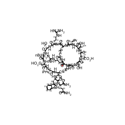 CCCC[C@@H]1NC(=O)[C@H](CO)NC(=O)[C@H](CCCNC(=N)N)NC(=O)[C@@H]2CSCC(=O)N[C@@H](CCCNC(=N)N)C(=O)N[C@@H](CSSC[C@@H](C(=O)N[C@@H](Cc3c[nH]c4ccccc34)C(=O)N[C@@H](CCC(N)=O)C(N)=O)NC(=O)[C@H](CC(C)C)NC(=O)[C@@H](CC(=O)O)NC1=O)C(=O)N[C@@H](CO)C(=O)N[C@@H](CC(=O)O)C(=O)N[C@@H]([C@@H](C)O)C(=O)N[C@@H](CC(C)C)C(=O)N2